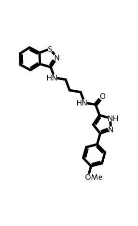 COc1ccc(-c2cc(C(=O)NCCCNc3nsc4ccccc34)[nH]n2)cc1